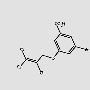 O=C(O)c1cc(Br)cc(OCC(Cl)=C(Cl)Cl)c1